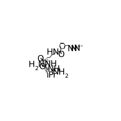 CC(C)C[C@H](NCN)C(=O)N[C@@H](CCCCNC(=O)c1cccc(CN=[N+]=[N-])c1)C(N)=O